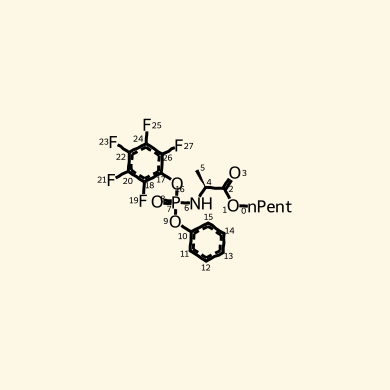 CCCCCOC(=O)[C@H](C)NP(=O)(Oc1ccccc1)Oc1c(F)c(F)c(F)c(F)c1F